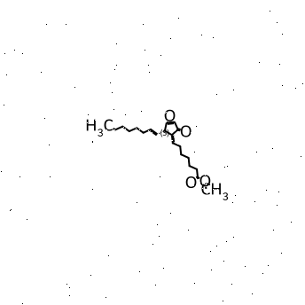 CCCCCCC=C[C@H]1C(=CCCCCCC(=O)OC)C(=O)C2=C1O2